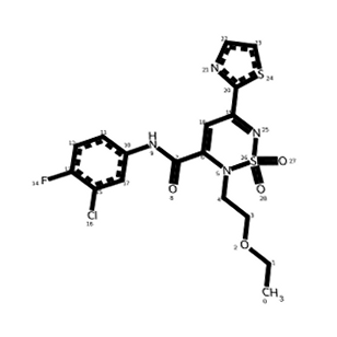 CCOCCN1C(C(=O)Nc2ccc(F)c(Cl)c2)=CC(c2nccs2)=NS1(=O)=O